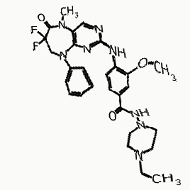 CCN1CCN(NC(=O)c2ccc(Nc3ncc4c(n3)N(c3ccccc3)CC(F)(F)C(=O)N4C)c(OC)c2)CC1